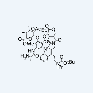 CC[C@@]1(OC(=O)c2ccc(NC(=O)[C@H](C)N)cc2O[C@@H]2O[C@H](C(=O)OC)[C@@H](C)[C@H](C)[C@H]2OC(C)=O)C(=O)OCc2c1cc1n(c2=O)Cc2c-1nc1ccccc1c2CCN(C(=O)OC(C)(C)C)C(C)C